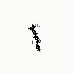 C=CC(=O)Nc1cc2c(s1)CN(S(=O)(=O)c1ccc(C(=O)NCCc3ccc(C(F)(F)F)cc3)cc1)C2